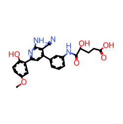 COc1ccc(O)c(-c2cc(-c3cccc(NC(=O)C(O)CCC(=O)O)c3)c(C#N)c(N)n2)c1